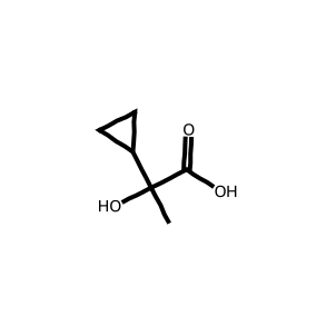 CC(O)(C(=O)O)C1CC1